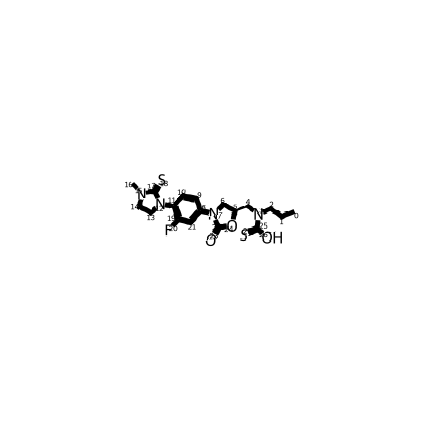 CCCN(C[C@@H]1CN(c2ccc(N3CCN(C)C3=S)c(F)c2)C(=O)O1)C(O)=S